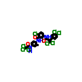 Cc1cc(NC(=O)C(Cl)(Cl)Cl)ccc1NC(=O)c1cc(NC(=O)C2C(c3ccc(Cl)c(Cl)c3)C2(Cl)Cl)ccc1Cl